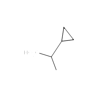 [CH2]C(C(=O)O)C1CC1